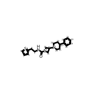 O=C(NCCc1cccs1)N1CC(N2CCC(c3ccccc3)CC2)C1